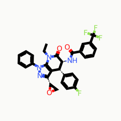 CCN1C(=O)[C@H](NC(=O)c2cccc(C(F)(F)F)c2)[C@H](c2ccc(F)cc2)c2c([C@@H]3CO3)nn(-c3ccccc3)c21